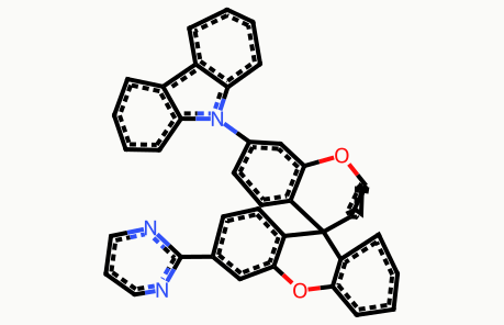 c1cnc(-c2ccc3c(c2)Oc2ccccc2C32c3ccccc3Oc3cc(-n4c5ccccc5c5ccccc54)ccc32)nc1